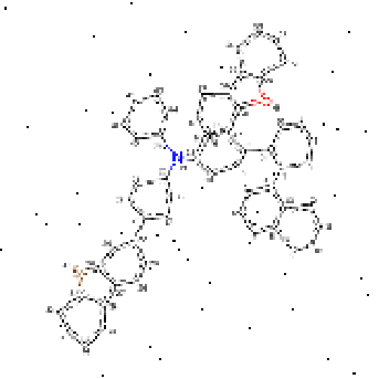 c1ccc(-c2cccc3ccccc23)c(-c2ccc(N(c3ccc(-c4ccc5c(c4)sc4ccccc45)cc3)c3ccccc3-c3ccc4oc5ccccc5c4c3)cc2)c1